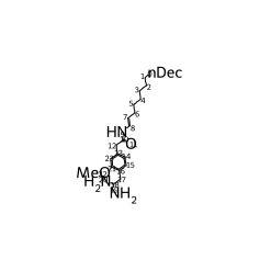 CCCCCCCCCCCCCCCCC=CNC(=O)Cc1ccc(CC(N)N)c(OC)c1